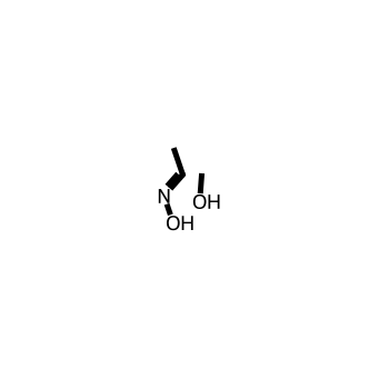 CC=NO.CO